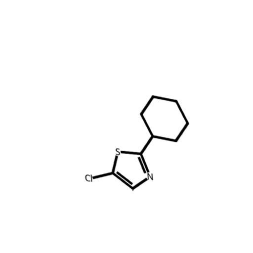 Clc1[c]nc(C2CCCCC2)s1